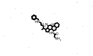 CC(CCCNCc1ccccc1)C1CCC2C3[C@H](NC(=O)CN)CC4CCCC[C@]4(C)[C@H]3C[C@H](N)[C@]12C